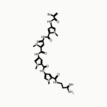 C=C(Br)C(=O)Nc1cc(C(=O)Nc2cc(C(=O)Nc3cc(C(=O)Nc4cc(C(=O)NCCC(=N)N)n(C)c4)n(C)c3)n(C)n2)n(C)c1